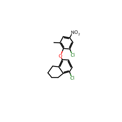 Cc1cc([N+](=O)[O-])cc(Cl)c1Oc1ccc(Cl)c2c1CCCC2